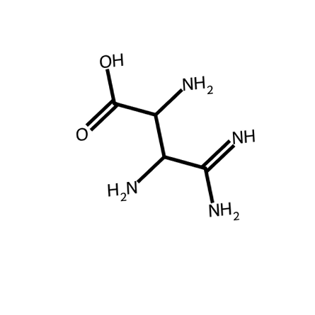 N=C(N)C(N)C(N)C(=O)O